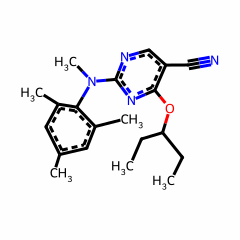 CCC(CC)Oc1nc(N(C)c2c(C)cc(C)cc2C)ncc1C#N